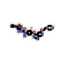 CC(C)(C)c1cc(NC(=O)Nc2ccc(Oc3ncnc4cnc(OCCN5CCOCC5)cc34)c(F)c2)no1